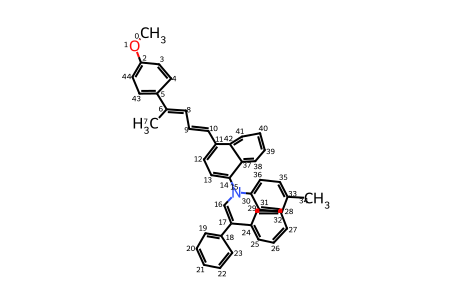 COc1ccc(/C(C)=C/C=C/c2ccc(N(C=C(c3ccccc3)c3ccccc3)c3ccc(C)cc3)c3ccccc23)cc1